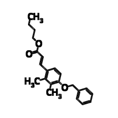 CCCCOC(=O)/C=C/c1ccc(OCc2ccccc2)c(C)c1C